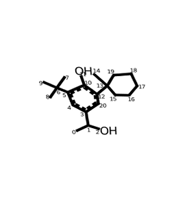 CC(O)c1cc(C(C)(C)C)c(O)c(C2(C)CCCCC2)c1